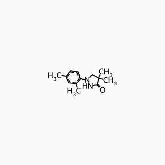 Cc1ccc(N2CC(C)(C)C(=O)N2)c(C)c1